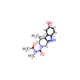 CC(=O)N(C)C(=O)N1Cc2[nH]c3ccc(O)cc3c2C(C)C1